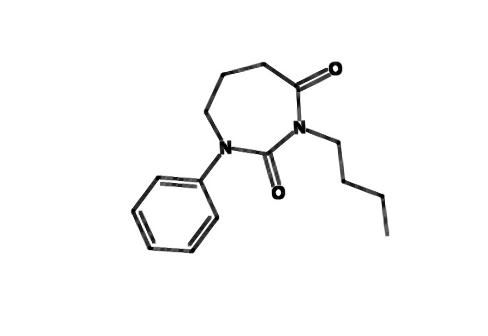 CCCCN1C(=O)CCCN(c2ccccc2)C1=O